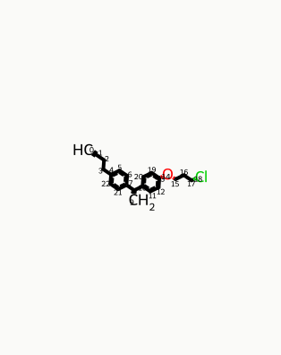 C#CCCc1ccc(C(=C)c2ccc(OCCCCl)cc2)cc1